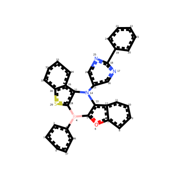 c1ccc(B2c3oc4ccccc4c3N(c3cnc(-c4ccccc4)nc3)c3c2sc2ccccc32)cc1